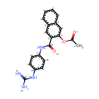 CC(=O)Oc1cc2ccccc2cc1C(=O)Nc1ccc(NC(=N)N)cc1